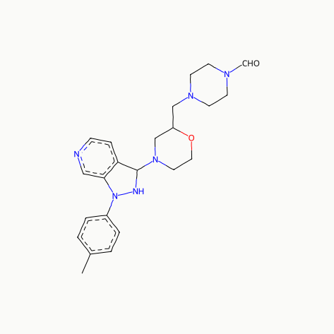 Cc1ccc(N2NC(N3CCOC(CN4CCN(C=O)CC4)C3)c3ccncc32)cc1